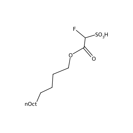 CCCCCCCCCCCCOC(=O)C(F)S(=O)(=O)O